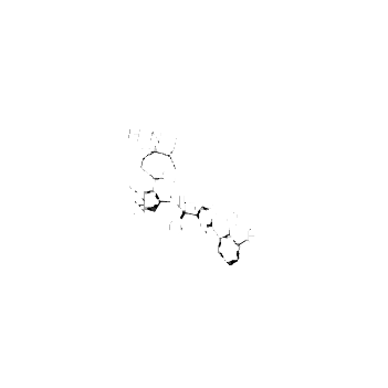 Cn1ncc(NC(=O)c2csc(-c3cccc(F)c3Cl)n2)c1[C@@H]1CC[C@@H](N)[C@@H](F)CO1